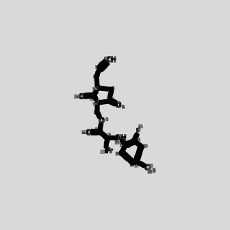 C#CCN1CC(=O)N(COC(=O)C(Nc2ccc(C(F)(F)F)cc2F)C(C)C)C1=O